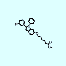 COC(=O)CCCCCOc1ccc2nc(-c3cccc(F)c3)n(-c3ccccc3)c2c1